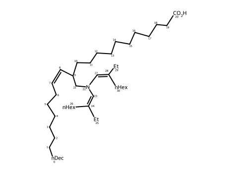 CCCCCCCCCCCCCCCC/C=C\C(CCCCCCCCCCC(=O)O)CN(/C=C(/CC)CCCCCC)/C=C(/CC)CCCCCC